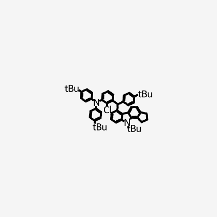 CC(C)(C)c1ccc(C(c2cccc(N(c3ccc(C(C)(C)C)cc3)c3ccc(C(C)(C)C)cc3)c2Cl)c2cccc3c2c2ccc4c(c2n3C(C)(C)C)CCC4)cc1